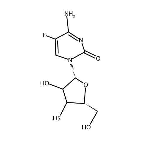 Nc1nc(=O)n([C@@H]2O[C@H](CO)C(S)C2O)cc1F